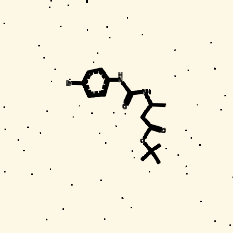 CC(CC(=O)OC(C)(C)C)NC(=O)Nc1ccc(Br)cc1